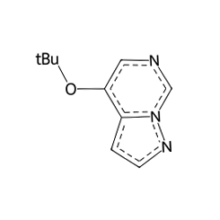 CC(C)(C)Oc1cncn2nccc12